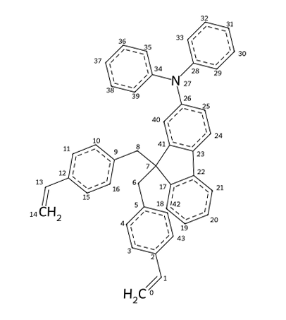 C=Cc1ccc(CC2(Cc3ccc(C=C)cc3)c3ccccc3-c3ccc(N(c4ccccc4)c4ccccc4)cc32)cc1